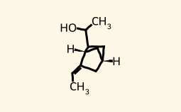 CC=C1C[C@H]2CC(C(C)O)[C@@H]1C2